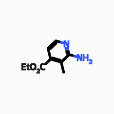 CCOC(=O)c1ccnc(N)c1C